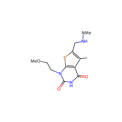 CNNCc1sc2c(c1C)c(=O)[nH]c(=O)n2CCOC